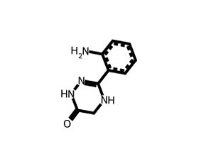 Nc1ccccc1C1=NNC(=O)CN1